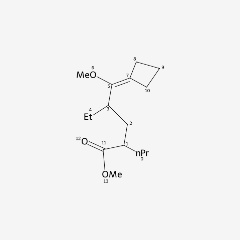 CCCC(CC(CC)C(OC)=C1CCC1)C(=O)OC